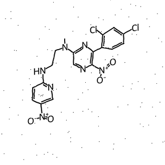 CN(CCNc1ccc([N+](=O)[O-])cn1)c1cnc([N+](=O)[O-])c(-c2ccc(Cl)cc2Cl)n1